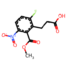 COC(=O)c1c([N+](=O)[O-])ccc(F)c1CCC(=O)O